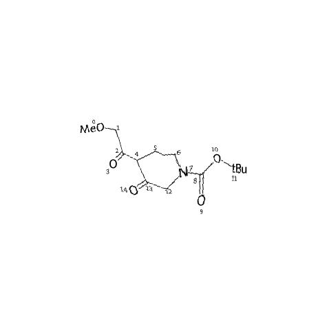 COCC(=O)C1CCN(C(=O)OC(C)(C)C)CC1=O